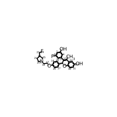 CC1=C(c2cc(O)cc(F)c2)C(c2ccc(OCCN3CCC(CF)C3)cc2)Oc2ccc(O)cc21